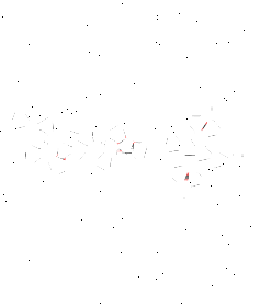 CC(C)(C)c1ccc(-c2c3ccc(C(C)(C)C)cc3c(-c3ccccc3)c3c(-c4ccc(C(C)(C)C)cc4)c4ccc(C(C)(C)c5ccc6oc7c(N(C8=CCC9=CCc%10c(N(c%11ccccc%11-c%11ccccc%11)c%11cccc%12c%11oc%11ccccc%11%12)ccc%11ccc8c9c%10%11)c8ccccc8-c8ccccc8)cccc7c6c5)cc4c(-c4ccccc4)c23)cc1